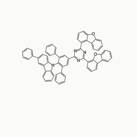 c1ccc(-c2ccc3c(c2)c2ccccc2n3-c2c(-c3ccccc3)cc(-c3nc(-c4cccc5c4oc4ccccc45)nc(-c4cccc5oc6ccccc6c45)n3)cc2-c2ccccc2)cc1